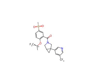 C[C@H](Oc1ccc(S(C)(=O)=O)cc1C(=O)N1CC2CC2(c2cncc(C(F)(F)F)c2)C1)C(F)(F)F